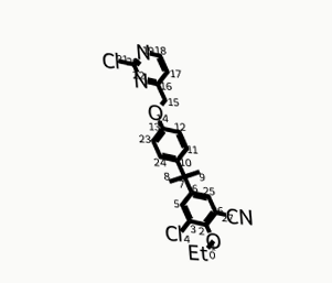 CCOc1c(Cl)cc(C(C)(C)c2ccc(OCc3ccnc(Cl)n3)cc2)cc1C#N